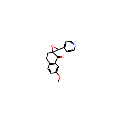 COc1ccc2c(c1)C(=O)C1(CC2)OC1c1ccncc1